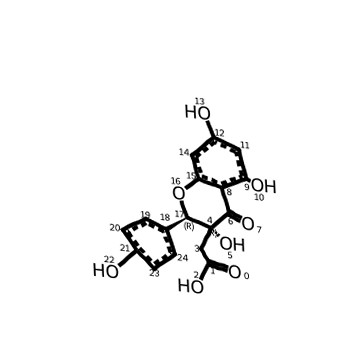 O=C(O)C[C@]1(O)C(=O)c2c(O)cc(O)cc2O[C@@H]1c1ccc(O)cc1